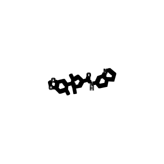 Cc1cc2c(cc1-c1c(C)cc(C(=O)Nc3ccc4cccnc4c3)cc1C)OCO2